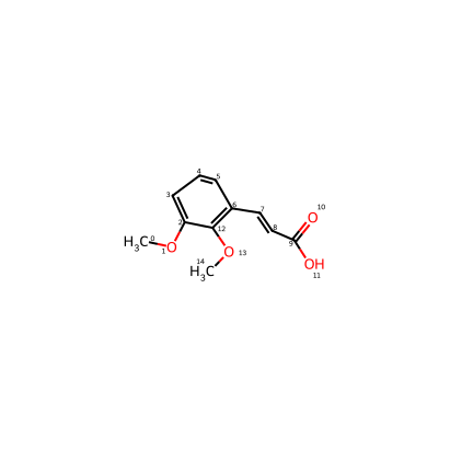 COc1cccc(C=CC(=O)O)c1OC